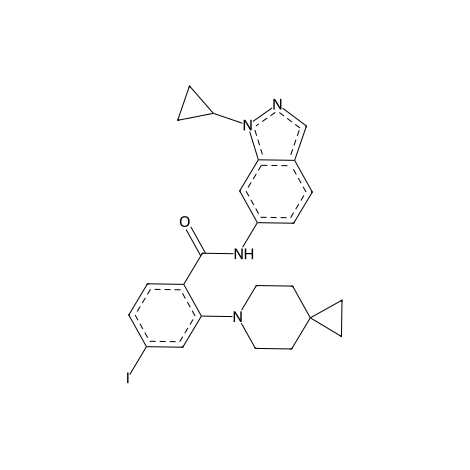 O=C(Nc1ccc2cnn(C3CC3)c2c1)c1ccc(I)cc1N1CCC2(CC1)CC2